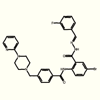 O=C(Nc1ccc(Br)cc1C(=O)N/N=C/c1cccc(F)c1)c1ccc(CN2CCN(c3ccccn3)CC2)cc1